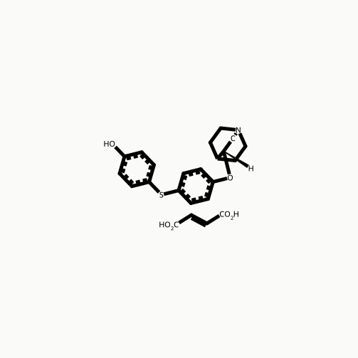 O=C(O)C=CC(=O)O.Oc1ccc(Sc2ccc(O[C@H]3CN4CCC3CC4)cc2)cc1